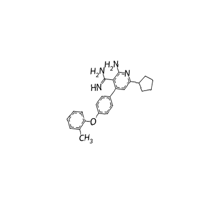 Cc1ccccc1Oc1ccc(-c2cc(C3CCCC3)nc(N)c2C(=N)N)cc1